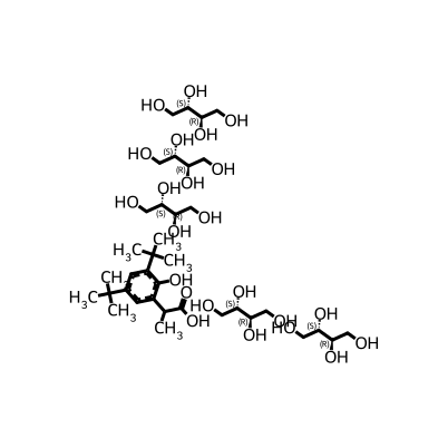 CC(C(=O)O)c1cc(C(C)(C)C)cc(C(C)(C)C)c1O.OC[C@@H](O)[C@@H](O)CO.OC[C@@H](O)[C@@H](O)CO.OC[C@@H](O)[C@@H](O)CO.OC[C@@H](O)[C@@H](O)CO.OC[C@@H](O)[C@@H](O)CO